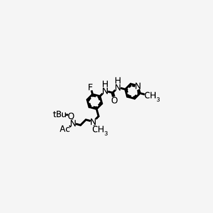 CC(=O)N(CCN(C)Cc1ccc(F)c(NC(=O)Nc2ccc(C)nc2)c1)OC(C)(C)C